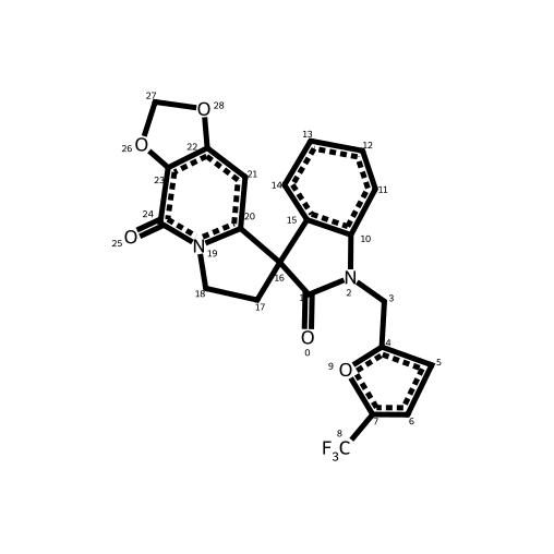 O=C1N(Cc2ccc(C(F)(F)F)o2)c2ccccc2C12CCn1c2cc2c(c1=O)OCO2